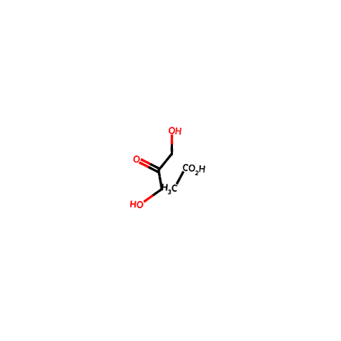 CC(=O)O.O=C(CO)CO